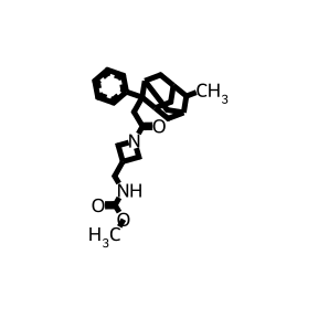 COC(=O)NCC1CN(C(=O)CC2(c3ccccc3)C3CC4CC2CC(C3)C4C)C1